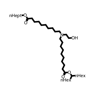 CCCCCCCOC(=O)CCCCCCCCCN(CCO)CCCCCCCCCC(=O)OC(CCCCCC)CCCCCC